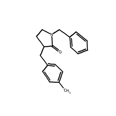 Cc1ccc(CC2CCN(Cc3ccccc3)C2=O)cc1